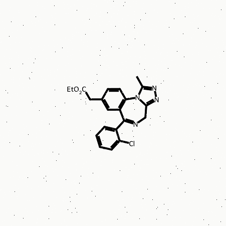 CCOC(=O)Cc1ccc2c(c1)C(c1ccccc1Cl)=NCc1nnc(C)n1-2